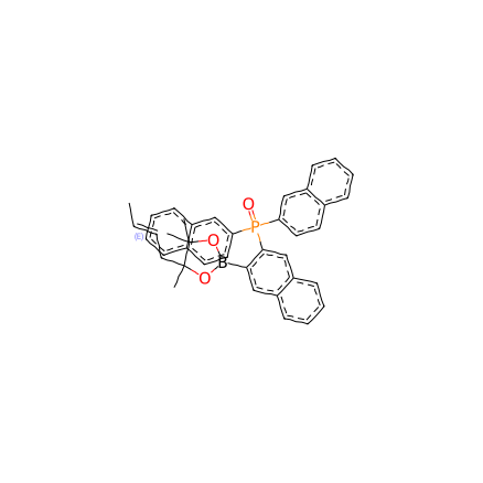 C/C=C/CC1(C)OB(c2cc3ccccc3cc2P(=O)(c2ccc3ccccc3c2)c2ccc3ccccc3c2)OC1(C)C